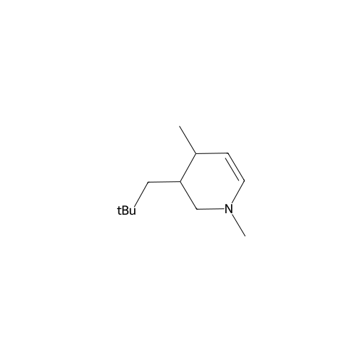 CC1C=CN(C)CC1CC(C)(C)C